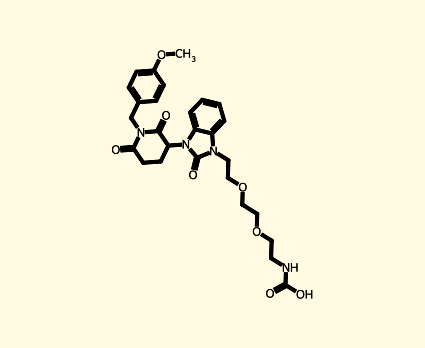 COc1ccc(CN2C(=O)CCC(n3c(=O)n(CCOCCOCCNC(=O)O)c4ccccc43)C2=O)cc1